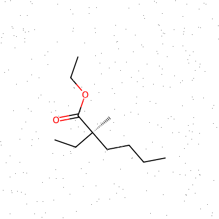 CCCC[C@@](C)(CC)C(=O)OCC